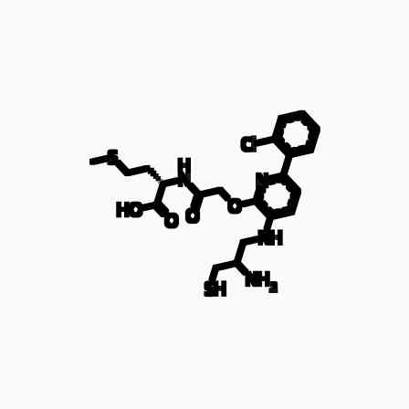 CSCC[C@H](NC(=O)COc1nc(-c2ccccc2Cl)ccc1NCC(N)CS)C(=O)O